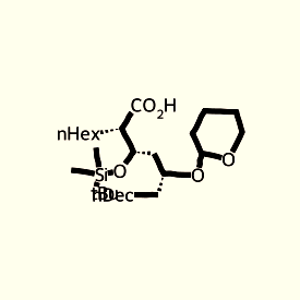 CCCCCCCCCCC[C@H](C[C@H](O[Si](C)(C)C(C)(C)C)[C@H](CCCCCC)C(=O)O)OC1CCCCO1